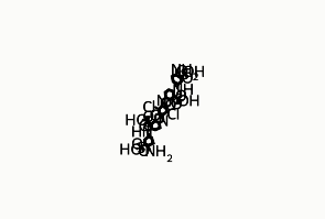 Nc1ccc(Nc2ccc3c(c2S(=O)(=O)O)Oc2c(Cl)c4c(c(Cl)c2=N3)Oc2c(ccc(Nc3ccc(N)c(S(=O)(=O)O)c3)c2S(=O)(=O)O)N=4)cc1S(=O)(=O)O